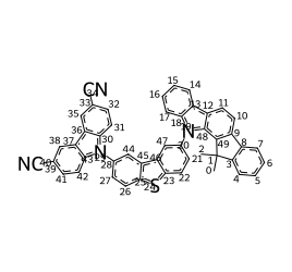 CC1(C)c2ccccc2-c2ccc3c4ccccc4n(-c4ccc5sc6ccc(-n7c8ccc(C#N)cc8c8cc(C#N)ccc87)cc6c5c4)c3c21